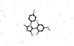 COc1cc(F)c(-c2c(Cl)nc(C)n2-c2ccc(F)cc2)c(F)c1